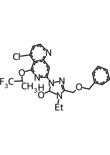 CCN1C(COCc2ccccc2)=NN(c2cc3nccc(Cl)c3c(OC(C)C(F)(F)F)n2)C1O